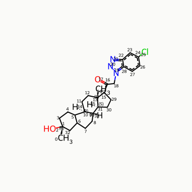 C[C@@]1(O)CCC2C(CC[C@@H]3[C@@H]2CC[C@]2(C)[C@@H](C(=O)Cn4nnc5cc(Cl)ccc54)CC[C@@H]32)C1